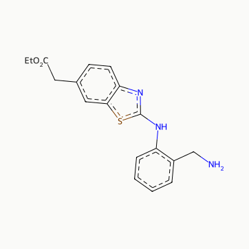 CCOC(=O)Cc1ccc2nc(Nc3ccccc3CN)sc2c1